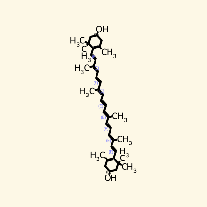 CC1=C(/C=C/C(C)=C/C=C/C(C)=C/C=C/C=C(C)/C=C/C=C(C)/C=C/C2=C(C)C[C@H](O)CC2(C)C)C(C)(C)C[C@@H](O)C1